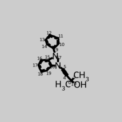 CC(C)(O)C#CN1CN(c2ccccc2)c2ccccc21